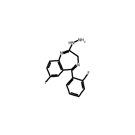 NNC1=Nc2ccc(I)cc2C(c2ccccc2F)=NC1